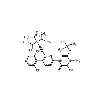 Cc1cncc(C)c1-c1ccc(NC(=O)C(C)N(C)C(=O)OC(C)(C)C)nc1C#C[Si](C(C)C)(C(C)C)C(C)C